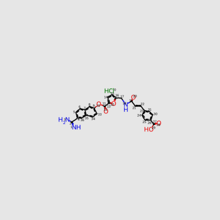 Cl.N=C(N)c1ccc2cc(OC(=O)c3ccc(CNC(=O)C=Cc4ccc(C(=O)O)cc4)o3)ccc2c1